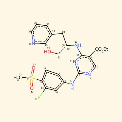 CCOC(=O)c1cnc(Nc2ccc(S(C)(=O)=O)c(F)c2)nc1N[C@H](CO)Cc1cccnc1